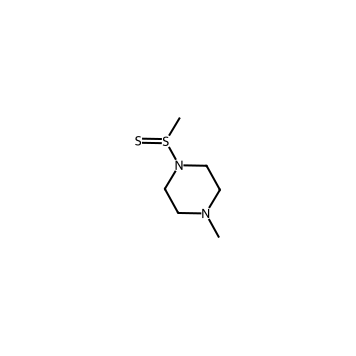 CN1CCN(S(C)=S)CC1